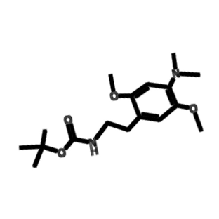 COc1cc(N(C)C)c(OC)cc1CCNC(=O)OC(C)(C)C